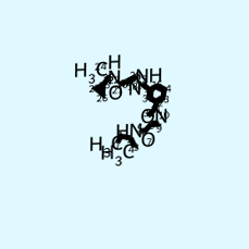 CCC(CC)NC(=O)c1cnc(-c2cccc(-c3nc(C(=O)NC(C)C4CC4)c[nH]3)c2)o1